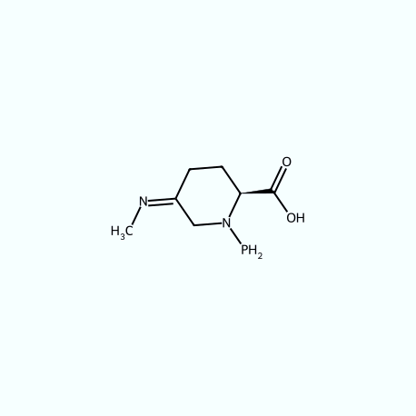 C/N=C1/CC[C@@H](C(=O)O)N(P)C1